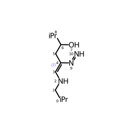 CC(C)CN/C=C(/CC(O)C(C)C)N=N